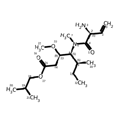 C=C[C@H](N)C(=O)N(C)[C@@H]([C@@H](C)CC)[C@@H](CC(=O)OCC(C)C)OC